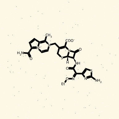 CCO/N=C(\C(=O)N[C@@H]1C(=O)N2C(C(=O)[O-])=C(Cn3cc[n+]4c(C(N)=O)ccc-4c3C)CS[C@@H]12)c1csc(N)n1